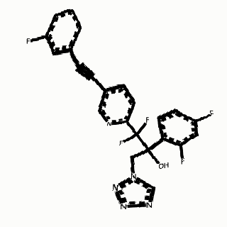 OC(Cn1cnnn1)(c1ccc(F)cc1F)C(F)(F)c1ccc(C#Cc2cccc(F)c2)cn1